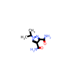 CC(C)n1cc(C(N)=O)c(C(N)=O)n1